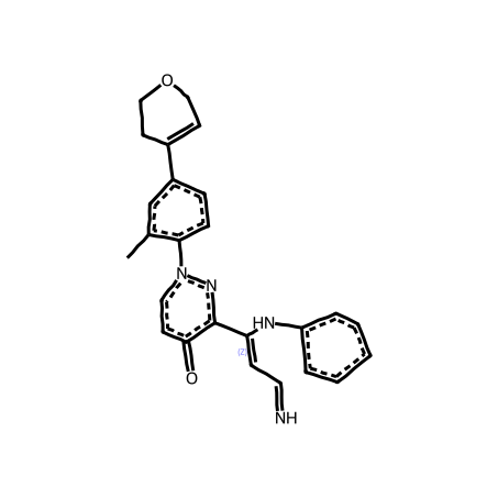 Cc1cc(C2=CCOCC2)ccc1-n1ccc(=O)c(/C(=C/C=N)Nc2ccccc2)n1